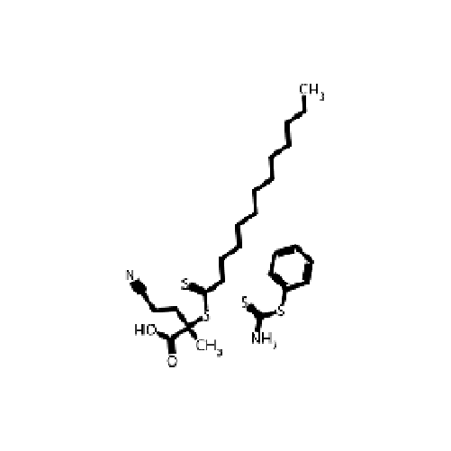 CCCCCCCCCCCCC(=S)SC(C)(CCC#N)C(=O)O.NC(=S)Sc1ccccc1